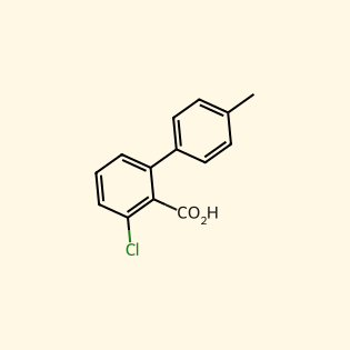 Cc1ccc(-c2cccc(Cl)c2C(=O)O)cc1